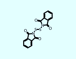 O=C1c2ccccc2C(=O)N1SSN1C(=O)c2ccccc2C1=O